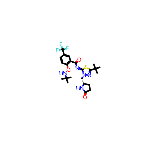 CC(C)(C)NOc1ccc(C(F)(F)F)cc1C(=O)N=c1sc(C(C)(C)C)nn1C[C@@H]1CCC(=O)N1